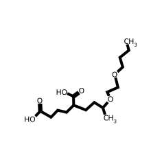 CCCCOCCOC(C)CCC(CCCC(=O)O)C(=O)O